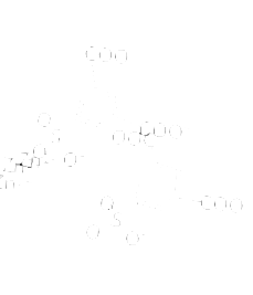 O=C([O-])c1cc(C(=O)[O-])cc(S(=O)(=O)[O-])c1.O=C([O-])c1cc(C(=O)[O-])cc(S(=O)(=O)[O-])c1.[Zn+2].[Zn+2].[Zn+2]